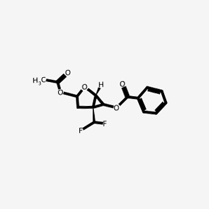 CC(=O)OC1C[C@@]2(C(F)F)C(OC(=O)c3ccccc3)[C@H]2O1